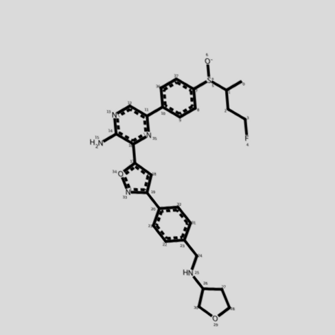 CC(CCF)[S+]([O-])c1ccc(-c2cnc(N)c(-c3cc(-c4ccc(CNC5CCOC5)cc4)no3)n2)cc1